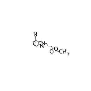 CCOC(=O)CCCn1cc2c(C#N)cccc2n1